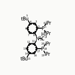 CC(C)P(c1cc(C(C)(C)C)ccc1N(C)c1ccc(C(C)(C)C)cc1P(C(C)C)C(C)C)C(C)C